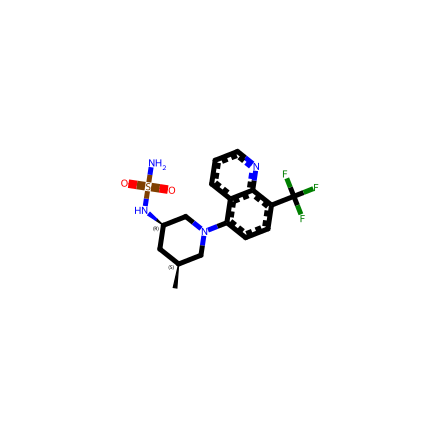 C[C@H]1C[C@@H](NS(N)(=O)=O)CN(c2ccc(C(F)(F)F)c3ncccc23)C1